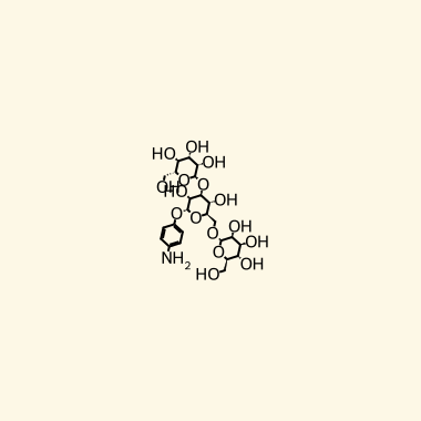 Nc1ccc(O[C@H]2O[C@H](CO[C@H]3O[C@H](CO)[C@@H](O)[C@H](O)[C@@H]3O)[C@@H](O)[C@H](O[C@H]3O[C@H](CO)[C@@H](O)[C@H](O)[C@@H]3O)[C@@H]2O)cc1